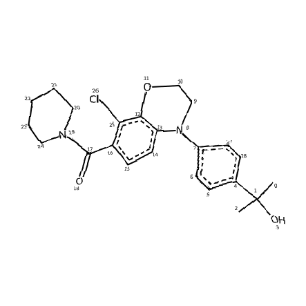 CC(C)(O)c1ccc(N2CCOc3c2ccc(C(=O)N2CCCCC2)c3Cl)cc1